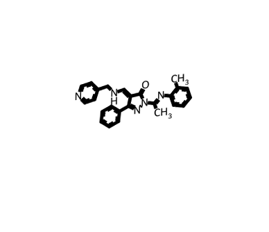 C/C(=N\c1ccccc1C)N1N=C(c2ccccc2)/C(=C\NCc2ccncc2)C1=O